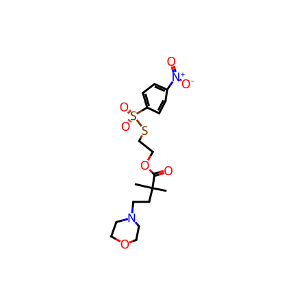 CC(C)(CCN1CCOCC1)C(=O)OCCSS(=O)(=O)c1ccc([N+](=O)[O-])cc1